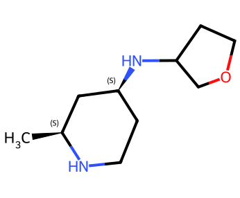 C[C@H]1C[C@@H](NC2CCOC2)CCN1